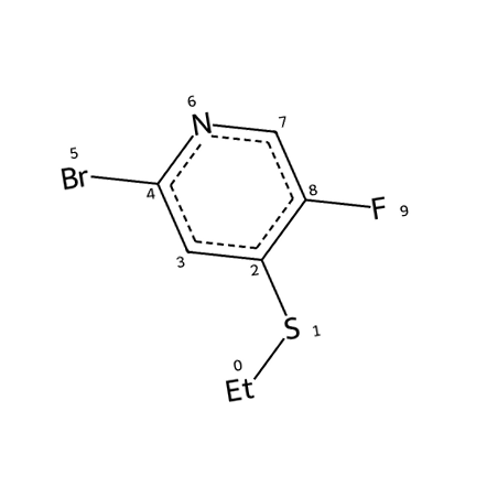 CCSc1cc(Br)ncc1F